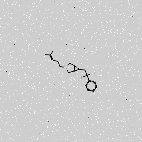 CCC(C#N)(CC1C2CN(CCC=C(C)C)CC21)c1ccccc1